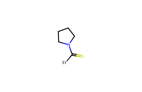 CCC(=S)N1CCCC1